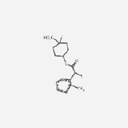 Cc1ccccc1C(I)C(=O)OC1CCC(I)(C(=O)O)CC1